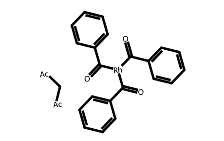 CC(=O)CC(C)=O.O=[C](c1ccccc1)[Rh]([C](=O)c1ccccc1)[C](=O)c1ccccc1